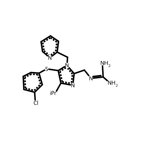 CC(C)c1nc(CN=C(N)N)n(Cc2ccccn2)c1Sc1cccc(Cl)c1